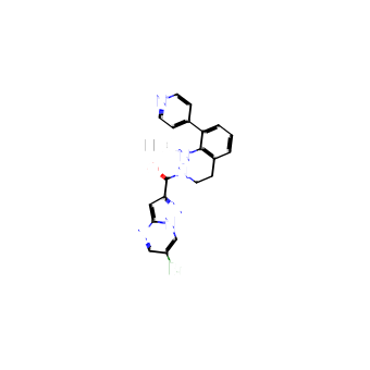 CN1c2c(cccc2-c2ccncc2)CCN1C(=O)c1cc2ncc(Br)cn2n1